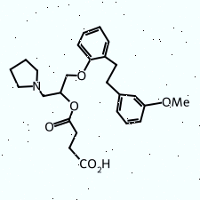 COc1cccc(CCc2ccccc2OCC(CN2CCCC2)OC(=O)CCC(=O)O)c1